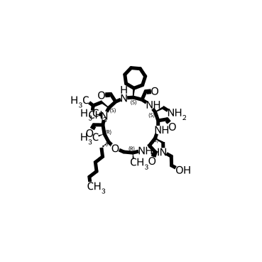 CCCCCC[C@H]1OC[C@@H](C)NC(C=O)[C@H](CNCCO)NC(C=O)[C@H](CN)NC(C=O)[C@H](C2CCCCCC2)NC(C=O)[C@H](CC(C)C)N(C)C(C=O)[C@H]1C